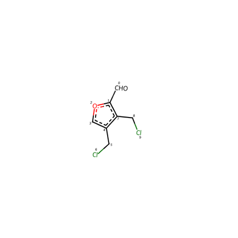 O=Cc1occ(CCl)c1CCl